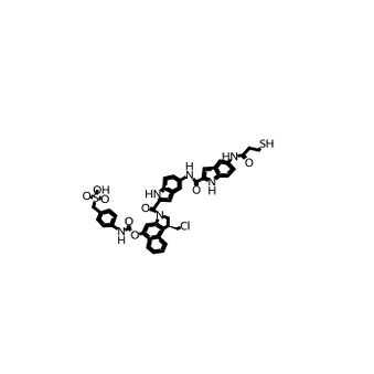 O=C(CCS)Nc1ccc2[nH]c(C(=O)Nc3ccc4[nH]c(C(=O)N5C[C@@H](CCl)c6c5cc(OC(=O)Nc5ccc(CS(=O)(=O)O)cc5)c5ccccc65)cc4c3)cc2c1